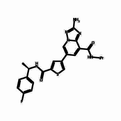 CC(C)NC(=O)c1cc(-c2csc(C(=O)N[C@H](C)c3ccc(F)cc3)c2)cn2nc(N)nc12